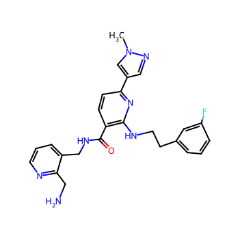 Cn1cc(-c2ccc(C(=O)NCc3cccnc3CN)c(NCCc3cccc(F)c3)n2)cn1